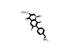 CCOC(=O)c1cn(CC)c2c(F)c(-c3ccc(CN)cc3)c(F)cc2c1=O